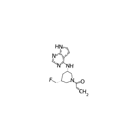 C=CC(=O)N1C[C@H](CF)C[C@H](Nc2ncnc3[nH]ccc23)C1